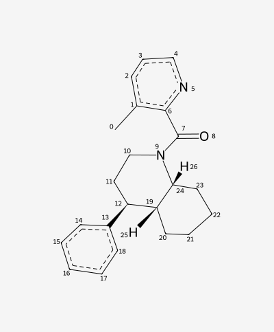 Cc1cccnc1C(=O)N1CC[C@H](c2ccccc2)[C@H]2CCCC[C@H]21